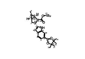 C[C@@H]1[C@@H]2C[C@@H](c3nc4ccc(B5OC(C)(C)C(C)(C)O5)cc4[nH]3)N(C(=O)OC(C)(C)C)[C@H]12